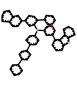 c1ccc(-c2ccc(-c3ccc(N(c4cccc(-c5cccc6oc7ccccc7c56)c4)c4cc(-c5ccc6ccccc6c5)ccc4-c4ccccc4)cc3)cc2)cc1